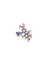 COC(=O)c1ccc2c(c1)[C@@H](NC(C)=O)CCc1cc(OC)c(OC)c(OC)c1-2